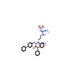 NC(=O)[C@@H](CCCNC(N)=N[N+](=O)[O-])N(Cc1ccc(-c2ccccc2)cc1)C(=O)C(c1ccccc1)c1ccccc1